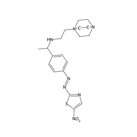 CC(NCC[N+]12CCN(CC1)CC2)c1ccc(N=Nc2ncc([N+](=O)[O-])s2)cc1